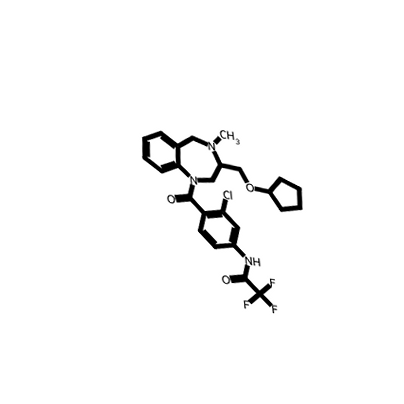 CN1Cc2ccccc2N(C(=O)c2ccc(NC(=O)C(F)(F)F)cc2Cl)CC1COC1CCCC1